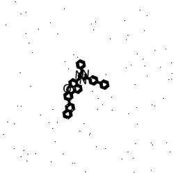 c1ccc(-c2ccc(-c3nc(-c4ccccc4)nc(-c4ccc5c6c(cccc46)-c4cc(-c6ccc7ccccc7c6)ccc4O5)n3)cc2)cc1